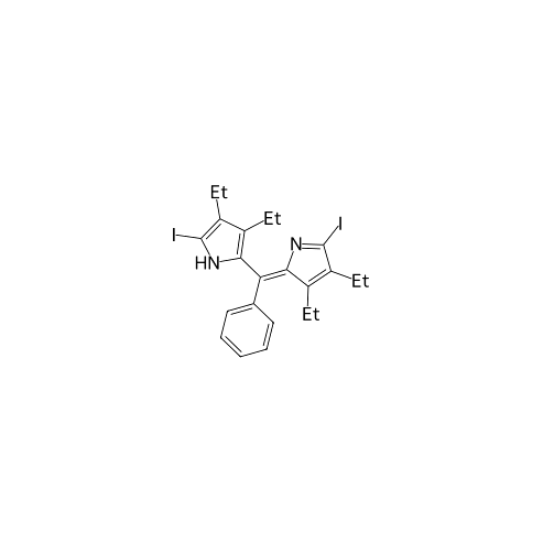 CCC1=C(CC)/C(=C(\c2ccccc2)c2[nH]c(I)c(CC)c2CC)N=C1I